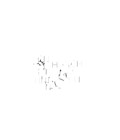 Cc1cc(-c2nc(NC3CCN(S(C)(=O)=O)CC3)ncc2F)cnc1OC(C)C